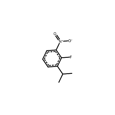 C[C](C)c1cccc([N+](=O)[O-])c1F